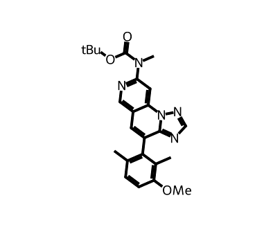 COc1ccc(C)c(-c2cc3cnc(N(C)C(=O)OC(C)(C)C)cc3n3ncnc23)c1C